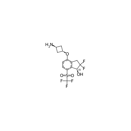 N[C@H]1C[C@@H](Oc2ccc(S(=O)(=O)C(F)(F)F)c3c2CC(F)(F)[C@H]3O)C1